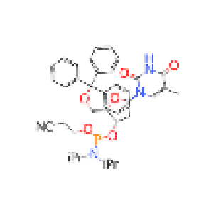 Cc1cn([C@H]2C[C@H](OP(OCCC#N)N(C(C)C)C(C)C)[C@@H](COC(c3ccccc3)(c3ccccc3)c3ccccc3)O2)c(=O)[nH]c1=O